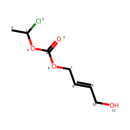 CC(Cl)OC(=O)OCC=CCO